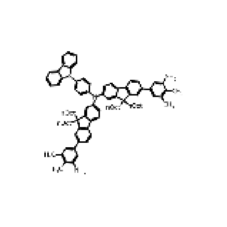 CCCCCCCCC1(CCCCCCCC)c2cc(-c3cc(C)c(C(F)(F)F)c(N)c3)ccc2-c2ccc(N(c3ccc(-n4c5ccccc5c5ccccc54)cc3)c3ccc4c(c3)C(CCCCCCCC)(CCCCCCCC)c3cc(-c5cc(C)c(C(F)(F)F)c(N)c5)ccc3-4)cc21